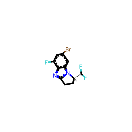 Fc1cc(Br)cc2c1nc1n2[C@H](C(F)F)CC1